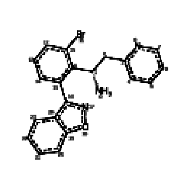 N[C@@H](Cc1ccccn1)c1c(Br)cccc1-c1noc2ccccc12